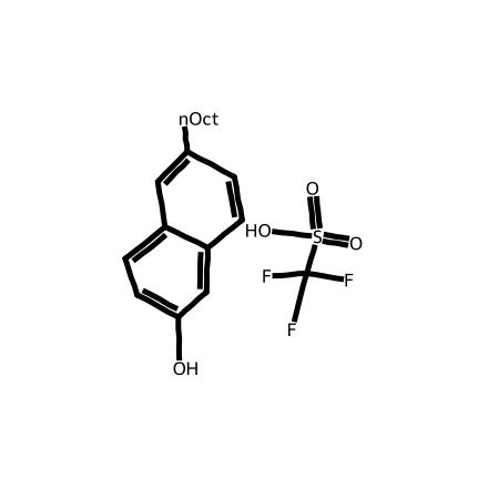 CCCCCCCCc1ccc2cc(O)ccc2c1.O=S(=O)(O)C(F)(F)F